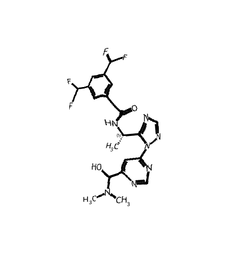 C[C@H](NC(=O)c1cc(C(F)F)cc(C(F)F)c1)c1ncnn1-c1cc(C(O)N(C)C)ncn1